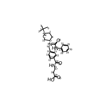 CC(C)(C)[C@H]1CC[C@H](N(Cc2ccc(C(=O)NCCC(=O)O)cc2)C(=O)Nc2ccccc2)CC1